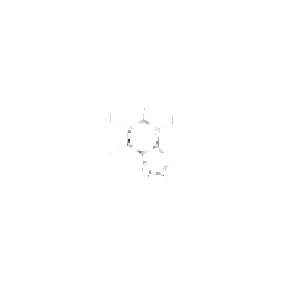 Fc1c(F)c(F)c2sc(S)nc2c1F